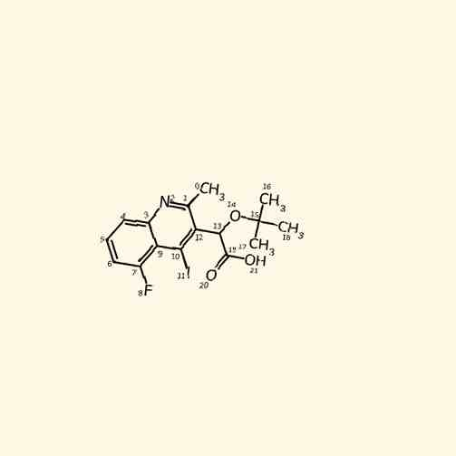 Cc1nc2cccc(F)c2c(I)c1C(OC(C)(C)C)C(=O)O